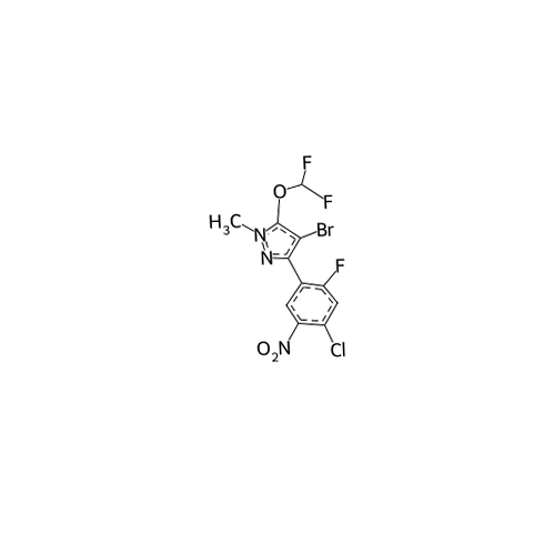 Cn1nc(-c2cc([N+](=O)[O-])c(Cl)cc2F)c(Br)c1OC(F)F